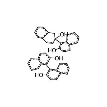 Oc1ccc2ccccc2c1-c1c(O)ccc2ccccc12.Oc1ccc2ccccc2c1C1(O)C=Cc2ccccc2C1